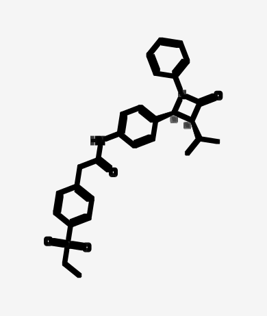 CCS(=O)(=O)c1ccc(CC(=O)Nc2ccc([C@@H]3[C@H](C(C)C)C(=O)N3c3ccccc3)cc2)cc1